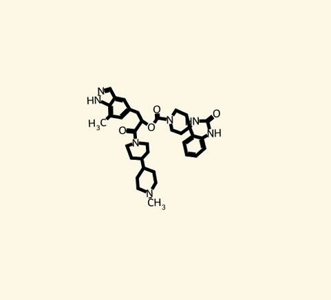 Cc1cc(CC(OC(=O)N2CCC3(CC2)NC(=O)Nc2ccccc23)C(=O)N2CCC(C3CCN(C)CC3)CC2)cc2cn[nH]c12